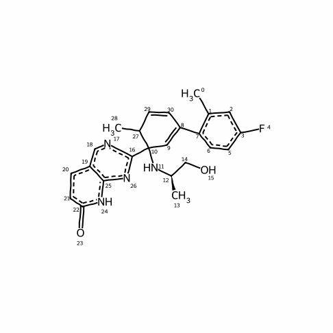 Cc1cc(F)ccc1C1=CC(N[C@H](C)CO)(c2ncc3ccc(=O)[nH]c3n2)C(C)C=C1